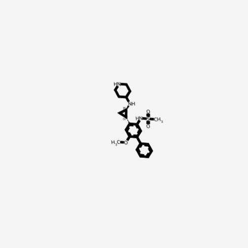 COc1cc([C@@H]2C[C@H]2NC2CCNCC2)c(NS(C)(=O)=O)cc1-c1ccccc1